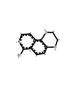 CCc1nccc2c3c(ccc12)OCCO3